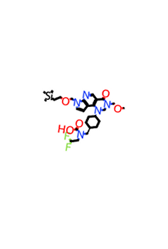 COCN1CN([C@H]2CC[C@H](CN(CC(F)F)C(=O)O)CC2)c2c(cnc3c2ccn3COCC[Si](C)(C)C)C1=O